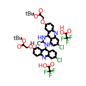 CC(Nc1c2ccc(Cl)cc2nc2ccc(OCC(=O)OC(C)(C)C)cc12)Nc1c2ccc(Cl)cc2nc2ccc(OCC(=O)OC(C)(C)C)cc12.O=C(O)C(F)(F)F.O=C(O)C(F)(F)F